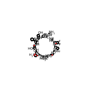 CCCC[C@H]1C(=O)N2CCC[C@@H]2C(=O)N[C@@H](CC(=O)O)C(=O)N[C@@H](C(C)C)C(=O)N(C)[C@H](Cc2ccccc2)C(=O)N[C@@H](CCN)C(=O)N2C[C@H](O)C[C@@H]2C(=O)N[C@@H](Cc2c[nH]c3ccccc23)C(=O)N[C@@H](Cc2ccc(O)cc2)C(=O)N[C@@H](CC(C)C)C(=O)N[C@H](C(=O)NCC(N)=O)CSCC(=O)N[C@@H](Cc2ccc(F)c(F)c2)C(=O)N(C)[C@@H](Cc2ccccc2)C(=O)N1C